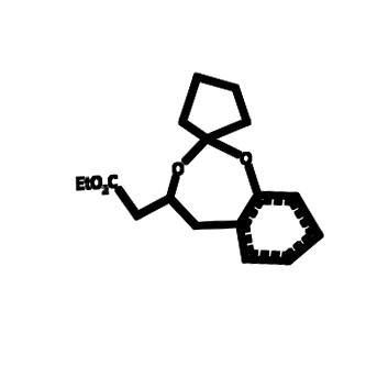 CCOC(=O)CC1Cc2ccccc2OC2(CCCC2)O1